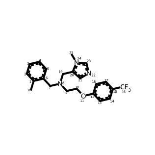 Cc1ccccc1CN(CCOc1ccc(C(F)(F)F)cc1)Cc1cncn1C